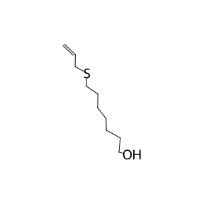 C=CCSCCCCCCCO